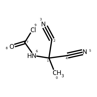 CC(C#N)(C#N)NC(=O)Cl